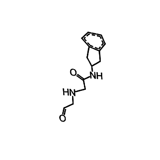 O=CCNCC(=O)NC1Cc2ccccc2C1